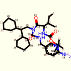 CCC(C)C(NC(=O)OC(C)(C)C)C(=O)N(CC(C1CCCCC1)C1CCCCC1)C(=O)NCc1ccc(N)nc1